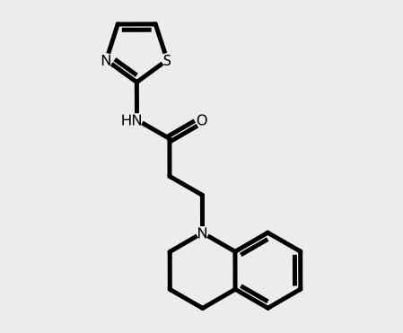 O=C(CCN1CCCc2ccccc21)Nc1nccs1